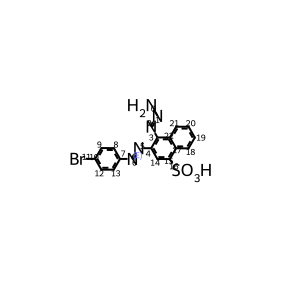 NN=Nc1c(/N=N/c2ccc(Br)cc2)cc(S(=O)(=O)O)c2ccccc12